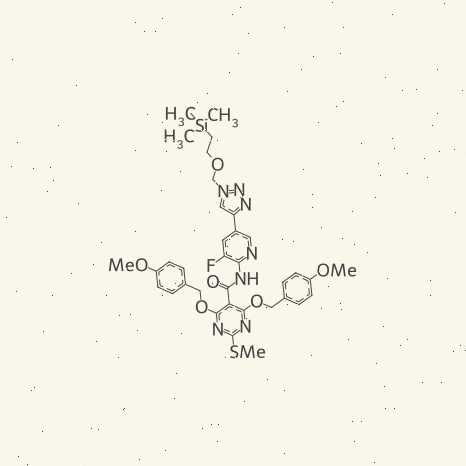 COc1ccc(COc2nc(SC)nc(OCc3ccc(OC)cc3)c2C(=O)Nc2ncc(-c3cn(COCC[Si](C)(C)C)nn3)cc2F)cc1